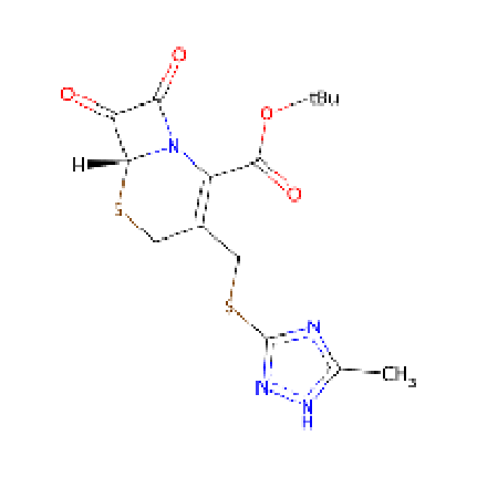 Cc1nc(SCC2=C(C(=O)OC(C)(C)C)N3C(=O)C(=O)[C@H]3SC2)n[nH]1